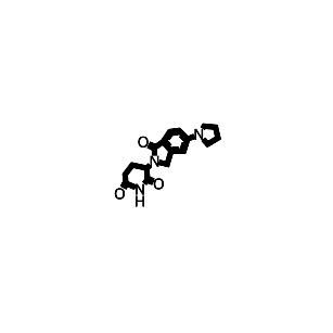 O=C1CCC(N2Cc3cc(N4CCCC4)ccc3C2=O)C(=O)N1